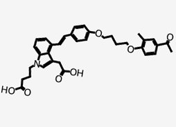 CC(=O)c1ccc(OCCCCOc2ccc(C=Cc3cccc4c3c(CC(=O)O)cn4CCCC(=O)O)cc2)c(C)c1